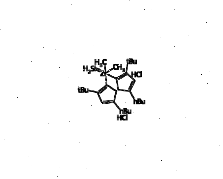 CCCCC1=CC(C(C)(C)C)=[C]([Zr]([CH3])([CH3])(=[SiH2])[C]2=C(C(C)(C)C)C=C(CCCC)C2)C1.Cl.Cl